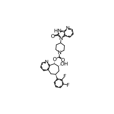 O=C(O[C@H]1c2ncccc2C[C@H](c2cccc(F)c2F)C[C@H]1O)N1CCC(n2c(=O)[nH]c3ncccc32)CC1